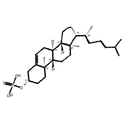 CC(C)CCC[C@@H](C)[C@H]1CC[C@H]2[C@@H]3CC=C4C[C@@H](OP(O)(O)=S)CC[C@]4(C)[C@H]3CC[C@]12C